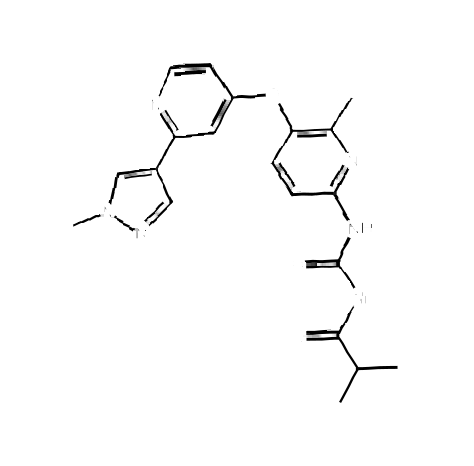 Cc1nc(NC(=O)NC(=O)C(C)C)ccc1Oc1ccnc(-c2cnn(C)c2)c1